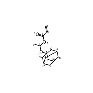 C=CC(=O)OC(C)OC12CC3CC(CC(C3)C1)C2